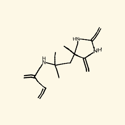 C=CC(=C)NC(C)(C)CC1(C)NC(=C)NC1=C